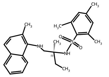 CC[C@@](C)(CNc1c(C)ccc2ccccc12)NS(=O)(=O)c1c(C)cc(C)cc1C